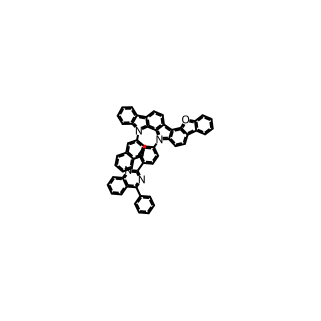 c1ccc(-c2nc(-c3ccc(-n4c5ccc6c7ccccc7oc6c5c5ccc6c7ccccc7n(-c7ccc8ccccc8c7)c6c54)cc3)nc3ccccc23)cc1